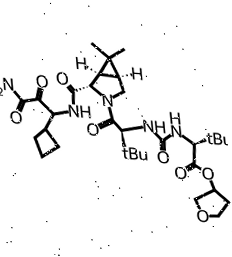 CC(C)(C)[C@H](NC(=O)N[C@H](C(=O)N1C[C@H]2[C@@H]([C@H]1C(=O)NC(C(=O)C(N)=O)C1CCC1)C2(C)C)C(C)(C)C)C(=O)OC1CCOC1